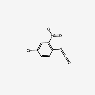 O=C=Nc1ccc(Cl)cc1[N+](=O)[O-]